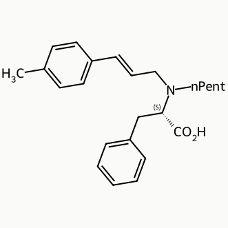 CCCCCN(CC=Cc1ccc(C)cc1)[C@@H](Cc1ccccc1)C(=O)O